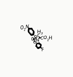 CC(NP(=O)(Oc1ccc(F)cc1)Oc1ccc([N+](=O)[O-])cc1)C(=O)O